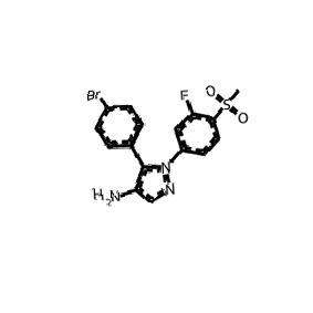 CS(=O)(=O)c1ccc(-n2ncc(N)c2-c2ccc(Br)cc2)cc1F